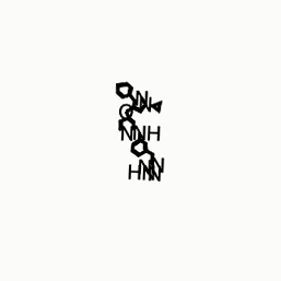 c1ccc(-c2nn(C3CC3)cc2Oc2ccnc(Nc3cccc(Cc4nn[nH]n4)c3)c2)cc1